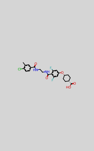 Cc1cc(C(=O)NCCNC(=O)c2c(F)cc(O[C@H]3CC[C@@H](C(=O)O)CC3)cc2F)ccc1Cl